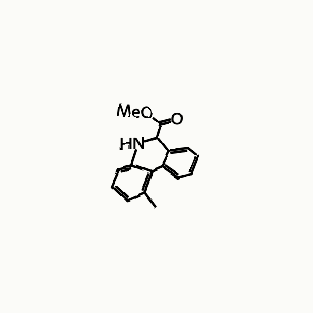 COC(=O)C1Nc2cccc(C)c2-c2ccccc21